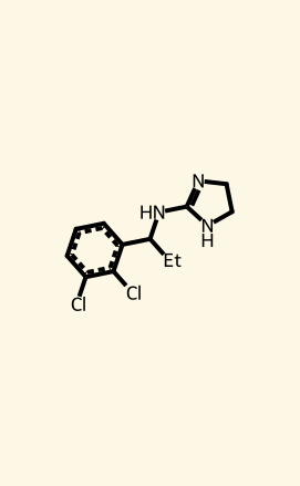 CCC(NC1=NCCN1)c1cccc(Cl)c1Cl